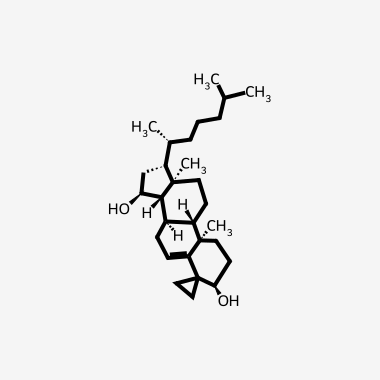 CC(C)CCC[C@@H](C)[C@H]1C[C@H](O)[C@H]2[C@@H]3CC=C4C5(CC5)[C@H](O)CC[C@]4(C)[C@H]3CC[C@@]21C